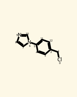 ClCc1ccc(-n2ccnc2)cc1